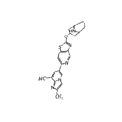 Cc1cn2cc(-c3cc4sc(OC5CC6CCC(C5)N6)nc4cn3)cc(C#N)c2n1